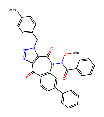 CCCCON(C(=O)c1ccccc1)n1c(=O)c2c(nnn2Cc2ccc(OC)cc2)c(=O)c2ccc(-c3ccccc3)cc21